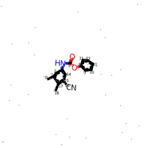 Cc1cc(NC(=O)Oc2ccccc2)cc(C#N)c1C